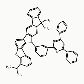 CC(C)c1cccc2c1oc1ccc3c4cc5c(cc4n(-c4cccc(-c6nc(-c7ccccc7)nc(-c7ccccc7)n6)c4)c3c12)C(C)(C)c1ccccc1-5